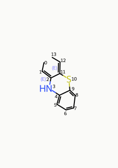 C/C=C1/Nc2ccccc2S/C1=C/C